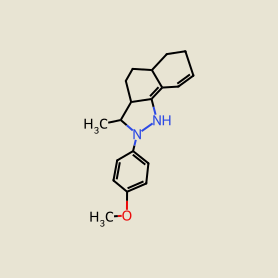 COc1ccc(N2NC3=C4C=CCCC4CCC3C2C)cc1